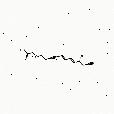 C#CC[C@@H](O)/C=C/C=C/C#CCCOCC(=O)O